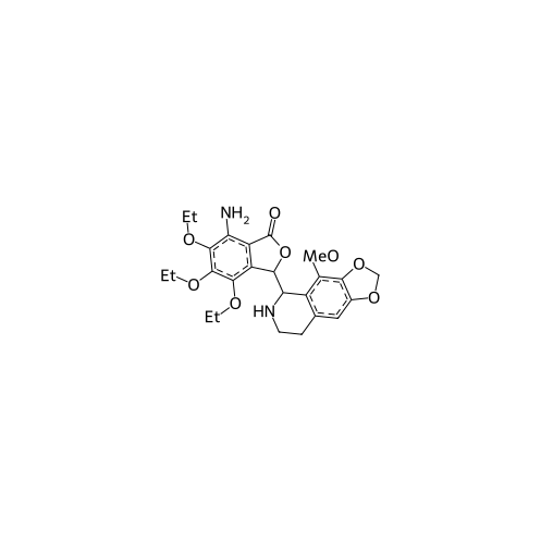 CCOc1c(N)c2c(c(OCC)c1OCC)C(C1NCCc3cc4c(c(OC)c31)OCO4)OC2=O